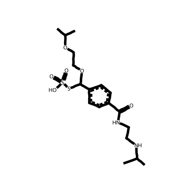 CC(C)NCCNC(=O)c1ccc(C(OCCOC(C)C)SS(=O)(=O)O)cc1